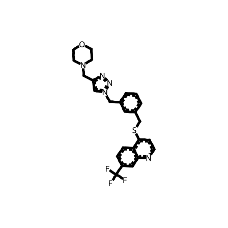 FC(F)(F)c1ccc2c(SCc3cccc(Cn4cc(CN5CCOCC5)nn4)c3)ccnc2c1